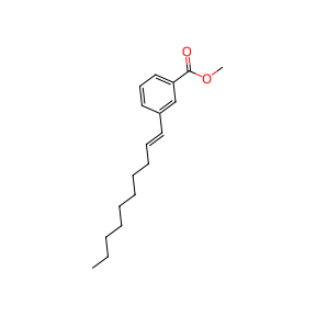 CCCCCCCCC=Cc1cccc(C(=O)OC)c1